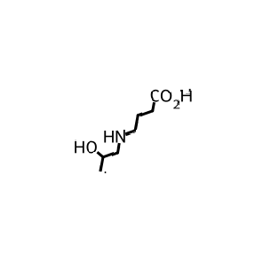 [CH2]C(O)CNCCCC(=O)O